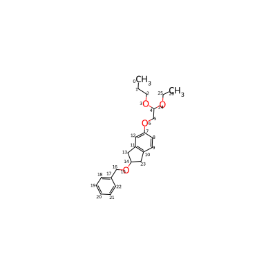 CCCOC(COc1ccc2c(c1)CC(OCc1ccccc1)C2)OCC